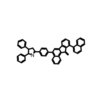 C=C1c2c(cccc2-c2cccc3ccccc23)-c2cc(-c3ccc(C4=NC(c5ccccc5)C(c5ccccc5)C4)cc3)c3ccccc3c21